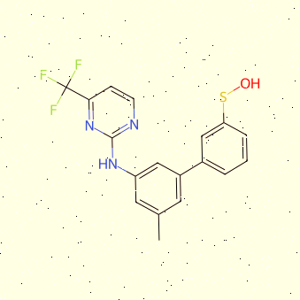 Cc1cc(Nc2nccc(C(F)(F)F)n2)cc(-c2cccc(SO)c2)c1